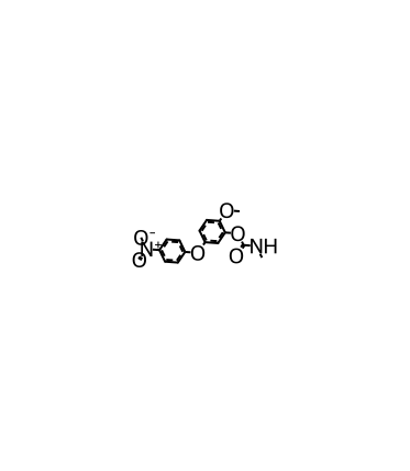 CNC(=O)Oc1cc(Oc2ccc([N+](=O)[O-])cc2)ccc1OC